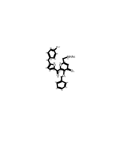 CC(=O)NCc1cc(=O)c(OCc2ccccc2)c(C(=O)c2ccc(Cc3ccc(F)cc3)o2)o1